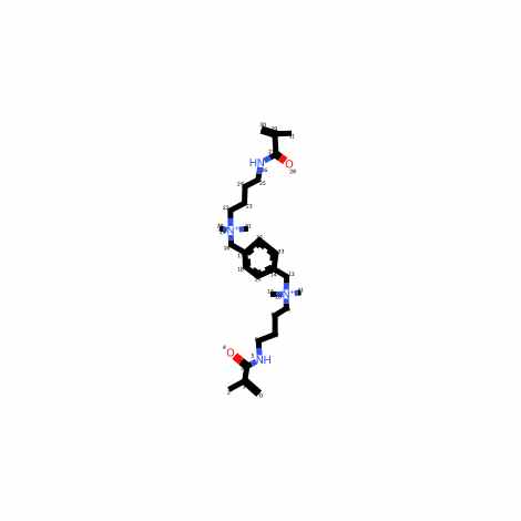 C=C(C)C(=O)NCCCC[N+](C)(C)Cc1ccc(C[N+](C)(C)CCCCNC(=O)C(=C)C)cc1